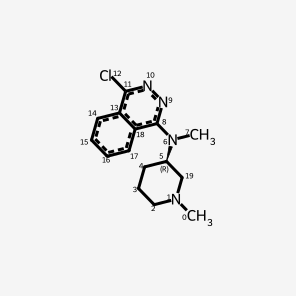 CN1CCC[C@@H](N(C)c2nnc(Cl)c3ccccc23)C1